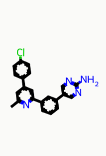 Cc1cc(-c2ccc(Cl)cc2)cc(-c2cccc(-c3cnc(N)nc3)c2)n1